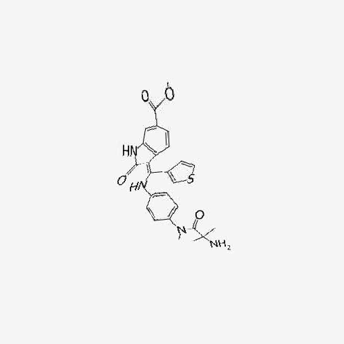 COC(=O)c1ccc2c(c1)NC(=O)/C2=C(\Nc1ccc(N(C)C(=O)C(C)(C)N)cc1)c1ccsc1